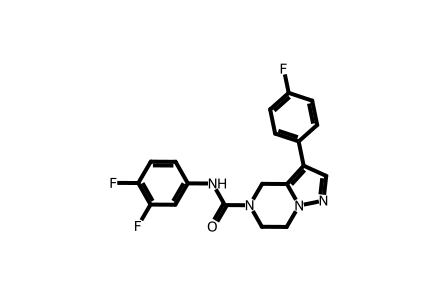 O=C(Nc1ccc(F)c(F)c1)N1CCn2ncc(-c3ccc(F)cc3)c2C1